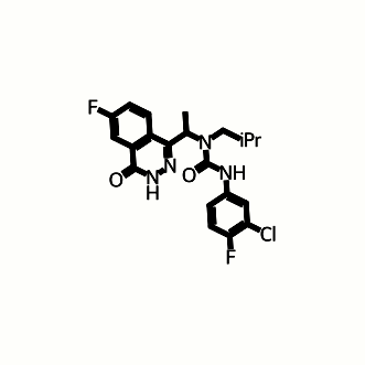 CC(C)CN(C(=O)Nc1ccc(F)c(Cl)c1)C(C)c1n[nH]c(=O)c2cc(F)ccc12